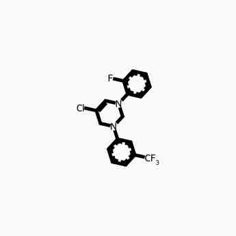 Fc1ccccc1N1C=C(Cl)CN(c2cccc(C(F)(F)F)c2)C1